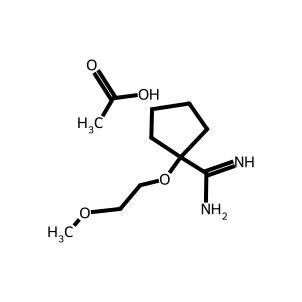 CC(=O)O.COCCOC1(C(=N)N)CCCC1